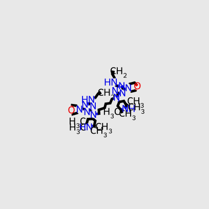 C=CCNc1nc(N2CCOCC2)nc(N(CCCCCCN(c2nc(NCC=C)nc(N3CCOCC3)n2)C2CC(C)(C)NC(C)(C)C2)C2CC(C)(C)NC(C)(C)C2)n1